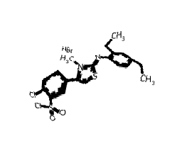 Br.CCc1ccc(N=c2scc(-c3ccc(Cl)c(S(=O)(=O)Cl)c3)n2C)c(CC)c1